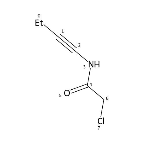 CCC#CNC(=O)CCl